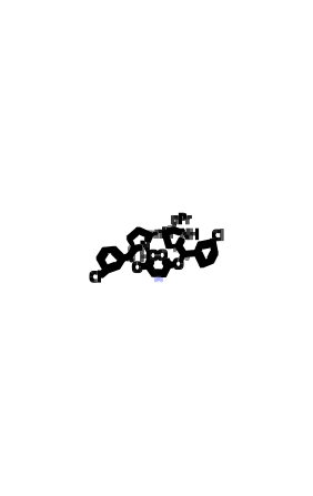 CCC[C@H]1CC[C@H]([C@H](OC(=O)/C=C\C(=O)O[C@H](c2cccc(Cl)c2)[C@H]2CC[C@H](CCC)N2)c2cccc(Cl)c2)N1